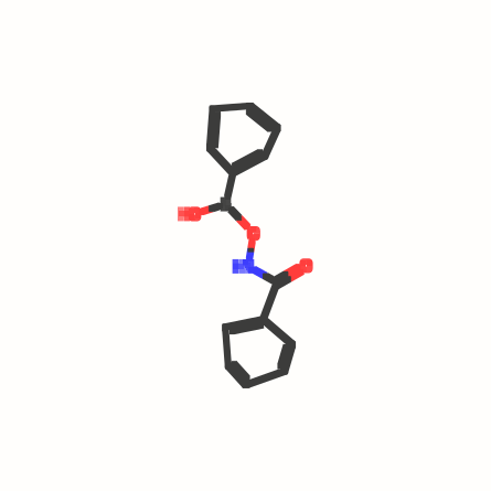 O=C(NOB(O)c1ccccc1)c1ccccc1